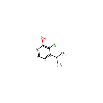 CC(C)c1cccc(O)c1Cl